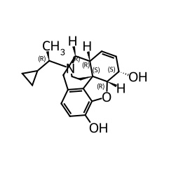 C[C@H](C1CC1)N1CC[C@]23c4c5ccc(O)c4O[C@H]2[C@@H](O)C=C[C@H]3[C@H]1C5